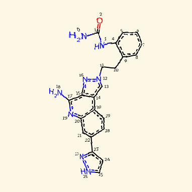 NC(=O)Nc1ccccc1CCn1cc2c(n1)c(N)nc1cc(-c3cc[nH]n3)ccc12